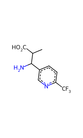 CC(C(=O)O)C(N)c1ccc(C(F)(F)F)nc1